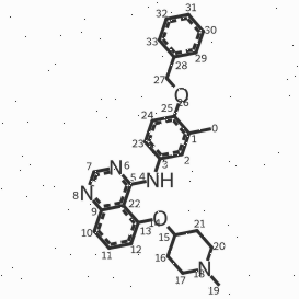 Cc1cc(Nc2ncnc3cccc(OC4CCN(C)CC4)c23)ccc1OCc1ccccc1